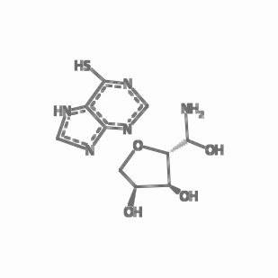 NC(O)[C@H]1OC[C@H](O)[C@@H]1O.Sc1ncnc2nc[nH]c12